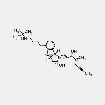 CC#CC[C@H](C)[C@H](O)/C=C/[C@@H]1[C@H]2c3cccc(CCCCNC(C)(C)C)c3O[C@H]2C[C@H]1O